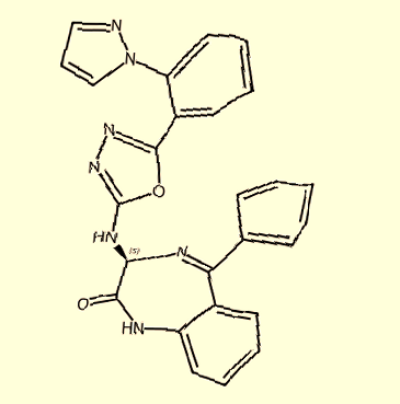 O=C1Nc2ccccc2C(c2ccccc2)=N[C@@H]1Nc1nnc(-c2ccccc2-n2cccn2)o1